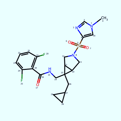 Cn1cnc(S(=O)(=O)N2CC3C(C2)C3(CNC(=O)c2c(F)cccc2F)CC2CC2)c1